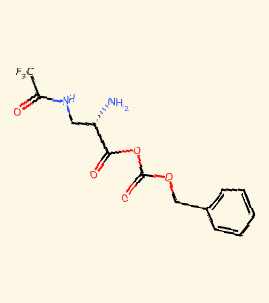 N[C@@H](CNC(=O)C(F)(F)F)C(=O)OC(=O)OCc1ccccc1